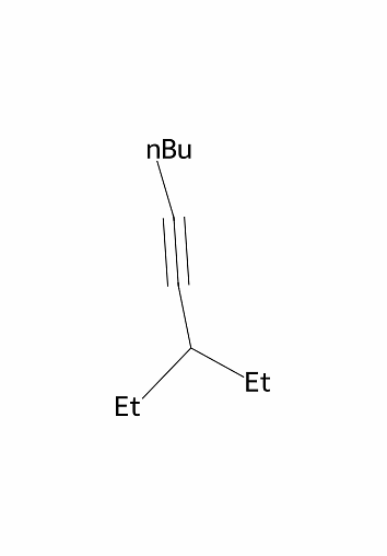 [CH2]CCCC#CC(CC)CC